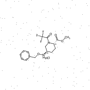 COC(=O)[C@@H]1CC[C@@H](NOCc2ccccc2)CN1C(=O)C(F)(F)F.Cl